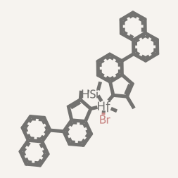 CC1=Cc2c(-c3cccc4ccccc34)cccc2[CH]1[Hf]([CH3])([Br])([CH]1C(C)=Cc2c(-c3cccc4ccccc34)cccc21)[SiH](C)C